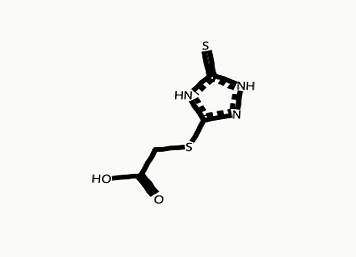 O=C(O)CSc1n[nH]c(=S)[nH]1